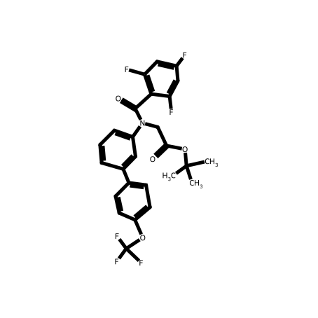 CC(C)(C)OC(=O)CN(C(=O)c1c(F)cc(F)cc1F)c1cccc(-c2ccc(OC(F)(F)F)cc2)c1